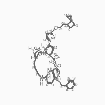 CC1(C)C[C@@H]2CCCNC3C=CC(OCc4ccccc4)=C(N3)S(=O)(=O)NC(=O)c3ccc(-n4ccc(OCCC5CCC56CC6)n4)nc3N1C2